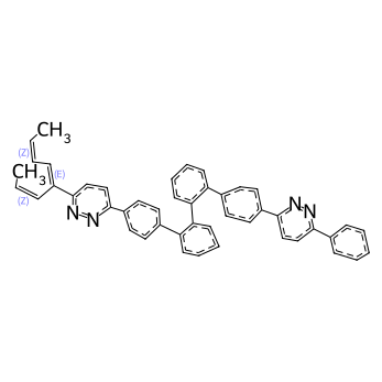 C\C=C/C=C(\C=C/C)c1ccc(-c2ccc(-c3ccccc3-c3ccccc3-c3ccc(-c4ccc(-c5ccccc5)nn4)cc3)cc2)nn1